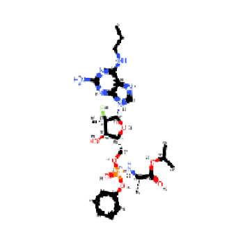 CCCNc1nc(N)nc2c1ncn2[C@@H]1O[C@H](CO[P@@](=O)(N[C@@H](C)C(=O)OC(C)C)Oc2ccccc2)[C@@H](O)[C@@]1(C)F